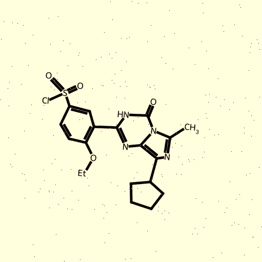 CCOc1ccc(S(=O)(=O)Cl)cc1-c1nc2c(C3CCCC3)nc(C)n2c(=O)[nH]1